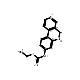 CC(C)(C)COC(=O)Nc1ccc2c(c1)OCc1cnccc1-2